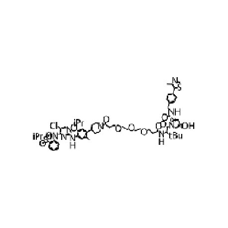 Cc1cc(Nc2ncc(Cl)c(Nc3ccccc3S(=O)(=O)C(C)C)n2)c(OC(C)C)cc1C1CCN(C(=O)CCOCCOCCOCCC(=O)NC(C(=O)N2C[C@H](O)C[C@H]2C(=O)NCc2ccc(-c3scnc3C)cc2)C(C)(C)C)CC1